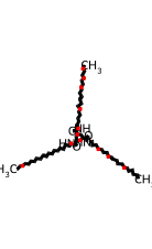 CCCCCCCCCCC=CCCCCCCCCNC(=O)C1CC(C(=O)NCCCCCCCCC=CCCCCCCCCCC)CC(C(=O)NCCCCCCCCC=CCCCCCCCCCC)C1